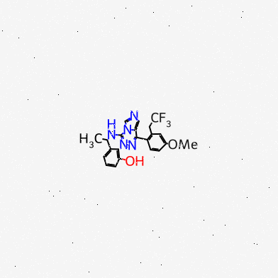 COc1ccc(-c2nnc(NC(C)c3cccc(O)c3)n3cncc23)c(CC(F)(F)F)c1